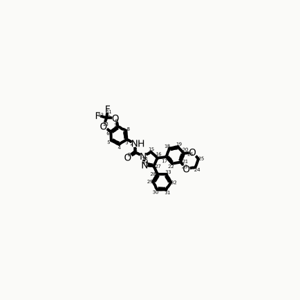 O=C(Nc1ccc2c(c1)OC(F)(F)O2)N1CC(c2ccc3c(c2)OCCO3)C(c2ccccc2)=N1